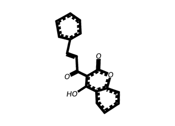 O=C(C=Cc1ccccc1)c1c(O)c2ccccc2oc1=O